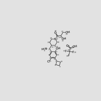 N[C@@H](c1cc(Cl)c(C2CCC2)cc1O)C1CCN(C(=O)[C@H](O)CO)CC1.O=C(O)C(F)(F)F